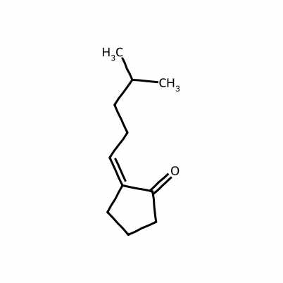 CC(C)CCC=C1CCCC1=O